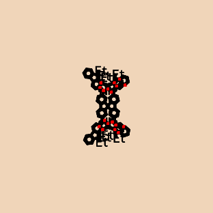 CCC1(CC)c2ccccc2-c2ccc(N(c3ccc4c(c3)C(CC)(CC)c3ccccc3-4)c3ccc4c(c3)C3(c5cc(N(c6ccccc6)c6ccccc6)ccc5-c5ccc(N(c6ccccc6)c6ccccc6)cc53)c3cc(N(c5ccc6c(c5)C(CC)(CC)c5ccccc5-6)c5ccc6c(c5)C(CC)(CC)c5ccccc5-6)ccc3-4)cc21